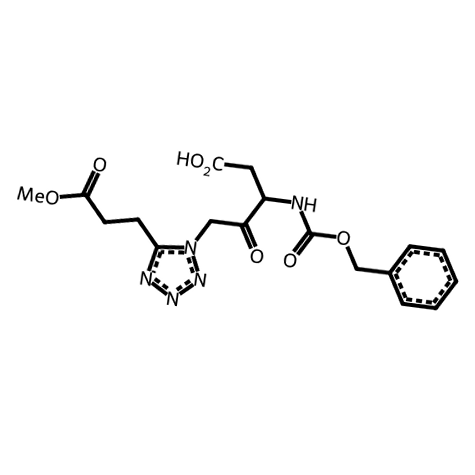 COC(=O)CCc1nnnn1CC(=O)C(CC(=O)O)NC(=O)OCc1ccccc1